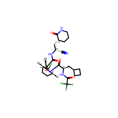 N#C[C@@H](C[C@H]1CCCNC1=O)NC(=O)[C@H]1[C@H]2CC[C@H](CC2(F)F)N1C(=O)[C@@H](CC1CCC1)NC(=O)C(F)(F)F